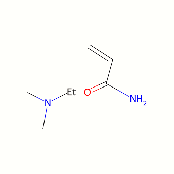 C=CC(N)=O.CCN(C)C